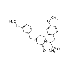 COc1ccc(CC(C(N)=O)N2CCN(Cc3cccc(OC)c3)CC2=O)cc1